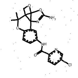 CC1(C)Oc2ccc(NC(=O)c3ccc(Cl)cn3)cc2C23N=C(N)OC24OCC143